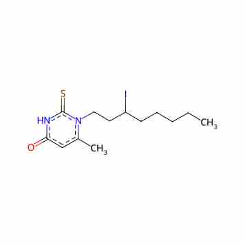 CCCCCC(I)CCn1c(C)cc(=O)[nH]c1=S